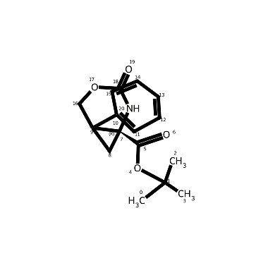 CC(C)(C)OC(=O)[C@@]12CC1(c1ccccc1)COC(=O)N2